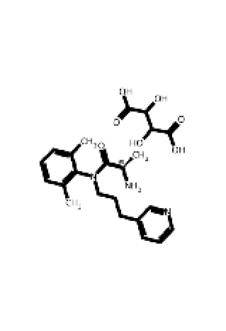 Cc1cccc(C)c1N(CCCc1cccnc1)C(=O)[C@@H](C)N.O=C(O)C(O)C(O)C(=O)O